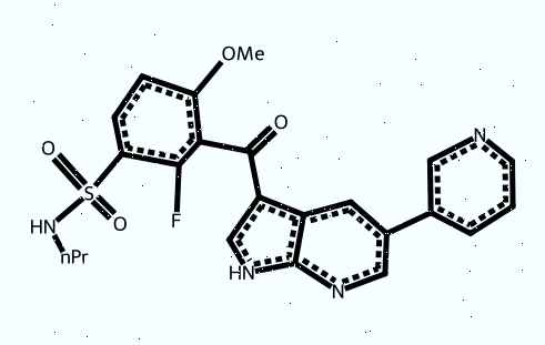 CCCNS(=O)(=O)c1ccc(OC)c(C(=O)c2c[nH]c3ncc(-c4cccnc4)cc23)c1F